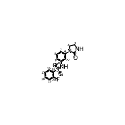 O=C1NCCN1c1cccc(NS(=O)(=O)c2ccccc2F)c1